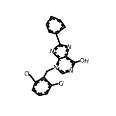 Oc1ncn(Cc2c(Cl)cccc2Cl)c2nc(-c3ccccc3)nc1-2